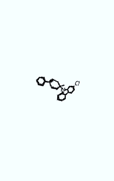 CC1(n2c3ccccc3c3ccc(Cl)cc32)C=CC(c2ccccc2)=CC1